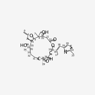 C=CC[C@H]1C(=O)C(C)(C)[C@@H](O)CC(=O)O[C@H](C(C)=Cc2csc(C)n2)C[C@H]2O[C@@]2(C)CCC[C@H](C)[C@@H]1O